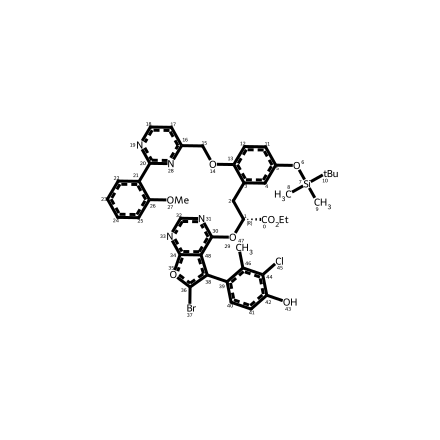 CCOC(=O)[C@@H](Cc1cc(O[Si](C)(C)C(C)(C)C)ccc1OCc1ccnc(-c2ccccc2OC)n1)Oc1ncnc2oc(Br)c(-c3ccc(O)c(Cl)c3C)c12